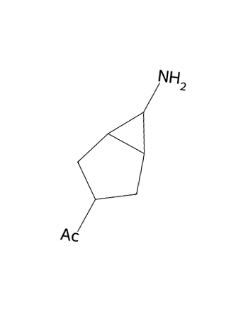 CC(=O)C1CC2C(N)C2C1